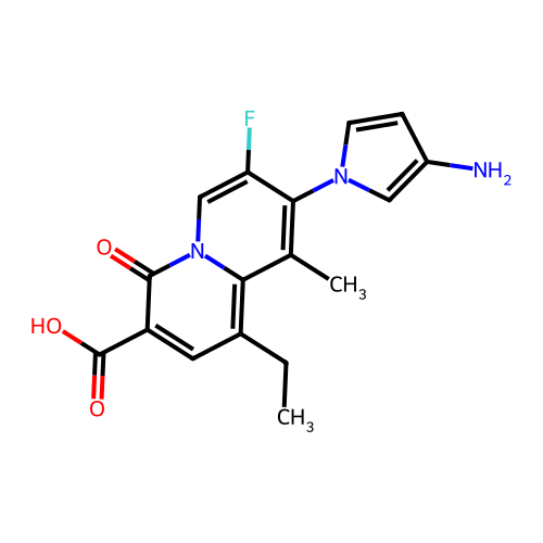 CCc1cc(C(=O)O)c(=O)n2cc(F)c(-n3ccc(N)c3)c(C)c12